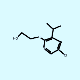 CC(C)c1cc(Cl)cnc1OCCO